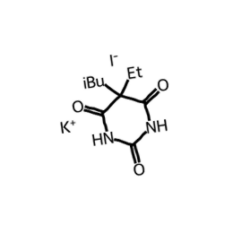 CCC(C)C1(CC)C(=O)NC(=O)NC1=O.[I-].[K+]